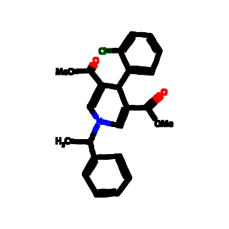 COC(=O)C1=CN(C(C)c2ccccc2)C=C(C(=O)OC)C1c1ccccc1Cl